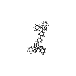 c1ccc(-n2c(-c3ccc(-c4ccc(-c5nc6c7ccccc7oc6c6c5sc5ccccc56)cc4)cc3)nc3ccccc32)cc1